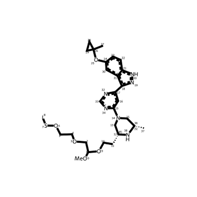 COC(COCCOSI)OCC[C@@H]1CN(c2cc(-c3n[nH]c4ccc(OC5(C)CC5)cc34)ncn2)C[C@H](C)N1